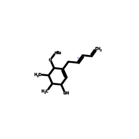 C=C/C=C/CC1=CC(O)C(C)C(C)C1OCCCC